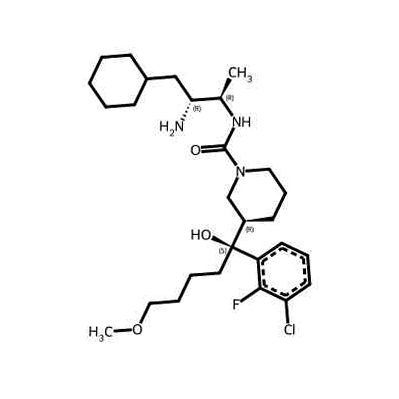 COCCCC[C@@](O)(c1cccc(Cl)c1F)[C@@H]1CCCN(C(=O)N[C@H](C)[C@H](N)CC2CCCCC2)C1